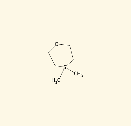 CS1(C)CCOCC1